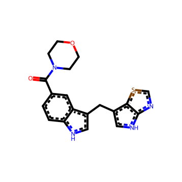 O=C(c1ccc2[nH]cc(Cc3c[nH]c4ncsc34)c2c1)N1CCOCC1